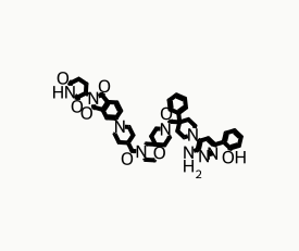 Nc1nnc(-c2ccccc2O)cc1N1CCC(C(=O)N2CCC3(CC2)CN(C(=O)C2CCN(c4ccc5c(c4)C(=O)N(C4CCC(=O)NC4=O)C5=O)CC2)CCO3)(c2ccccc2)CC1